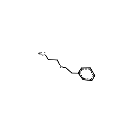 O=C(O)CCSCCc1ccccc1